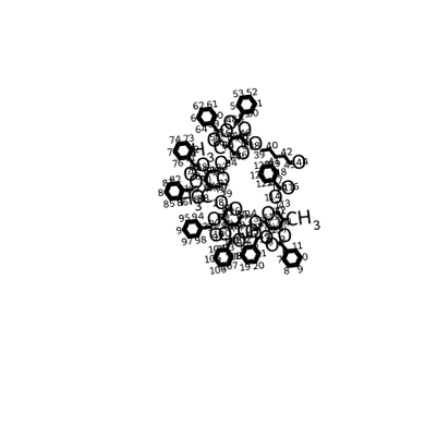 C[C@H]1[C@H](OC(=O)c2ccccc2)[C@@H](OC(=O)c2ccccc2)[C@H](OC[C@H]2O[C@@H](OC[C@H]3O[C@@H](OC[C@H]4O[C@@H](OCCCCC=O)[C@H](OC(=O)c5ccccc5)[C@@H](OC(=O)c5ccccc5)[C@@H]4C)[C@H](OC(=O)c4ccccc4)[C@@H](OC(=O)c4ccccc4)[C@@H]3C)[C@H](OC(=O)c3ccccc3)[C@@H](OC(=O)c3ccccc3)[C@@H]2C)O[C@@H]1COC(=O)c1ccccc1